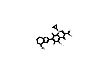 Cc1c(-c2cc3c(s2)CCCC3N)c(F)c(N)c2c(=O)c(C(=O)O)cn(C3CC3)c12